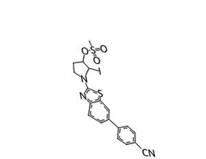 CS(=O)(=O)OC1CCN(c2nc3ccc(-c4ccc(C#N)cc4)cc3s2)C1I